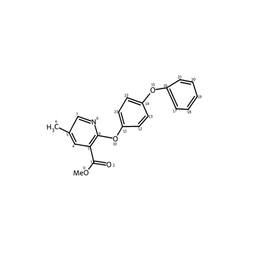 COC(=O)c1cc(C)cnc1Oc1ccc(Oc2ccccc2)cc1